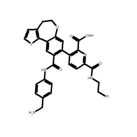 COC(=O)c1nc(C(=O)NCCC(C)C)ccc1-c1cc2c(cc1C(=O)Nc1ccc(CN)cc1)-c1sccc1CCO2